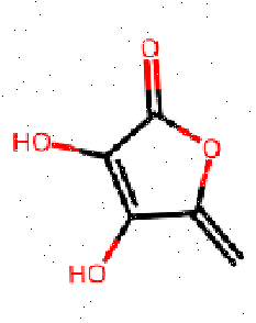 C=C1OC(=O)C(O)=C1O